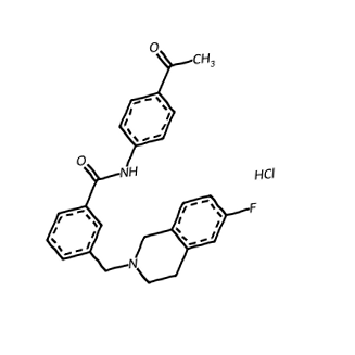 CC(=O)c1ccc(NC(=O)c2cccc(CN3CCc4cc(F)ccc4C3)c2)cc1.Cl